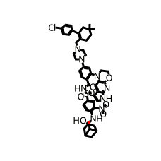 CC1(C)CCC(CN2CCN(c3ccc(C(=O)NS(=O)(=O)c4ccc(NCC5C6CC5CC(C)(O)C6)c([N+](=O)[O-])c4)c(N4CCOc5nc6[nH]ccc6cc54)c3)CC2)=C(c2ccc(Cl)cc2)C1